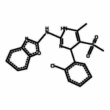 CC1=C(S(C)(=O)=O)C(c2ccccc2Cl)N=C(Nc2nc3ccccc3o2)N1